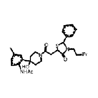 CC(=O)Nc1ccc(C)cc1C1(O)CCN(C(=O)CC2SC(c3ccccc3)N(CCC(C)C)C2=O)CC1